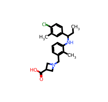 CCC(Nc1cccc(CN2CC(C(=O)O)C2)c1C)c1ccc(Cl)c(C)c1